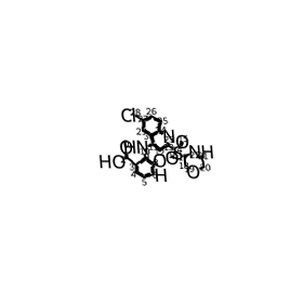 O=C(O)c1cccc(O)c1Nc1cc(S(=O)(=O)C2COCCN2)nc2ccc(Cl)cc12